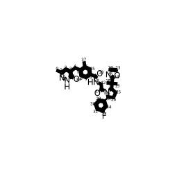 Cc1cc(Cc2ccc(C(=O)NCC(=O)N3C(C(C)(C)c4ncco4)CC[C@H]3c3cccc(F)c3)cc2C)c(=O)[nH]n1